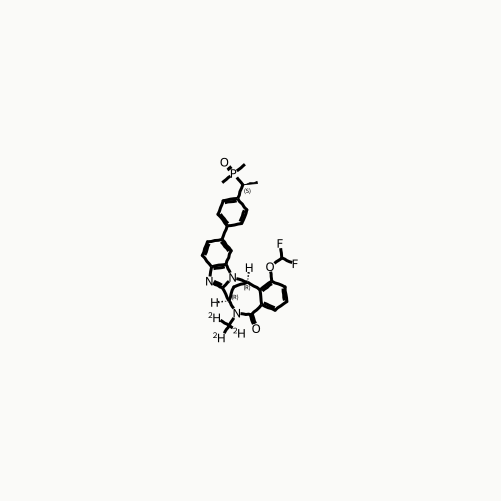 [2H]C([2H])([2H])N1C(=O)c2cccc(OC(F)F)c2[C@H]2C[C@@H]1c1nc3ccc(-c4ccc([C@H](C)P(C)(C)=O)cc4)cc3n12